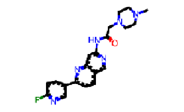 CN1CCN(CC(=O)Nc2cc3nc(-c4ccc(F)nc4)ccc3cn2)CC1